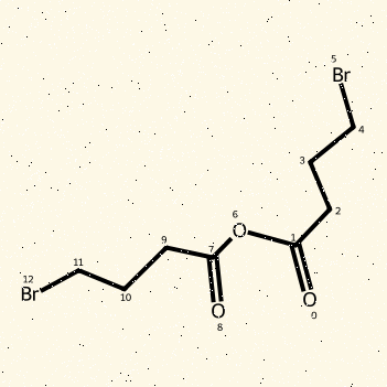 O=C(CCCBr)OC(=O)CCCBr